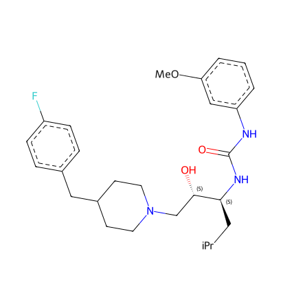 COc1cccc(NC(=O)N[C@@H](CC(C)C)[C@@H](O)CN2CCC(Cc3ccc(F)cc3)CC2)c1